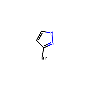 CCCC1=N[N]C=C1